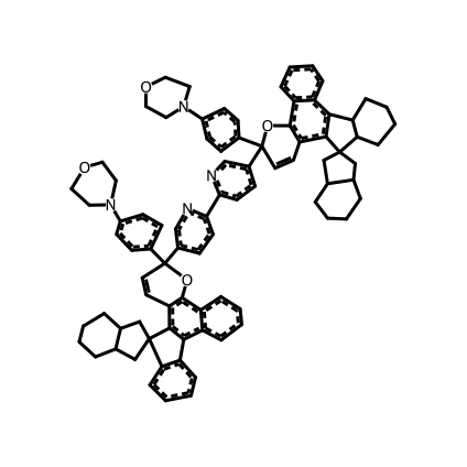 C1=CC(c2ccc(N3CCOCC3)cc2)(c2ccc(-c3ccc(C4(c5ccc(N6CCOCC6)cc5)C=Cc5c6c(c7ccccc7c5O4)C4CCCCC4C64CC5CCCCC5C4)cn3)nc2)Oc2c1c1c(c3ccccc23)-c2ccccc2C12CC1CCCCC1C2